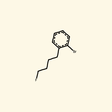 FCCCCc1ccccc1Br